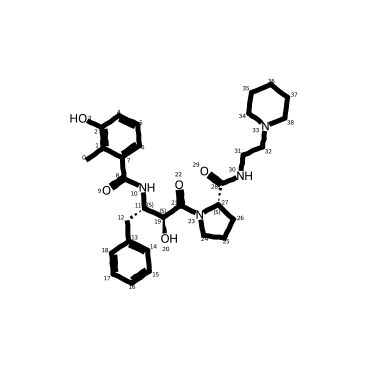 Cc1c(O)cccc1C(=O)N[C@@H](Cc1ccccc1)[C@H](O)C(=O)N1CCC[C@H]1C(=O)NCCN1CCCCC1